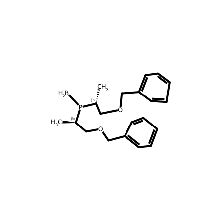 BP([C@H](C)COCc1ccccc1)[C@H](C)COCc1ccccc1